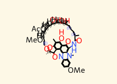 COc1ccc2nc3c4c5c6c(C)c(O)c4c(=O)c(c-3n(C)c2c1)NC(=O)/C(C)=C\C=C\[C@H](C)[C@H](O)[C@@H](C)[C@@H](O)[C@@H](C)[C@H](OC(C)=O)[C@H](C)[C@@H](OC)/C=C/O[C@@](C)(O6)C5=O